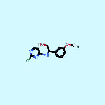 COc1cccc(C(CO)Nc2ccnc(Cl)n2)c1